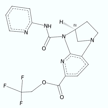 O=C(OCC(F)(F)F)c1ccc2c(n1)N(C(=O)Nc1ccccn1)[C@H]1CCN2C1